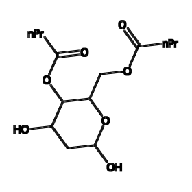 CCCC(=O)OCC1OC(O)CC(O)C1OC(=O)CCC